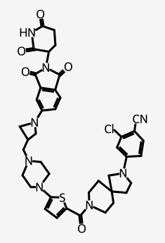 N#Cc1ccc(N2CCC3(CCN(C(=O)c4ccc(N5CCN(CC6CN(c7ccc8c(c7)C(=O)N(C7CCC(=O)NC7=O)C8=O)C6)CC5)s4)CC3)C2)cc1Cl